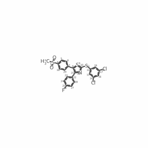 CS(=O)(=O)c1ccc(-c2sc(Sc3cc(Cl)cc(Cl)c3)nc2-c2ccc(F)cc2)cc1